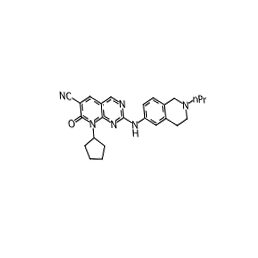 CCCN1CCc2cc(Nc3ncc4cc(C#N)c(=O)n(C5CCCC5)c4n3)ccc2C1